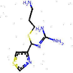 NCCCSC(N=C(N)N)c1cscn1